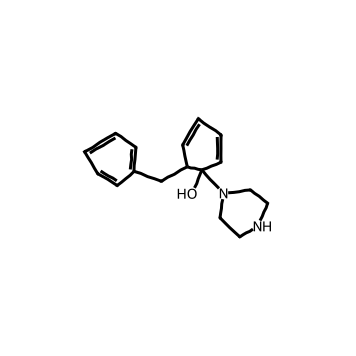 OC1(N2CCNCC2)C=CC=CC1Cc1ccccc1